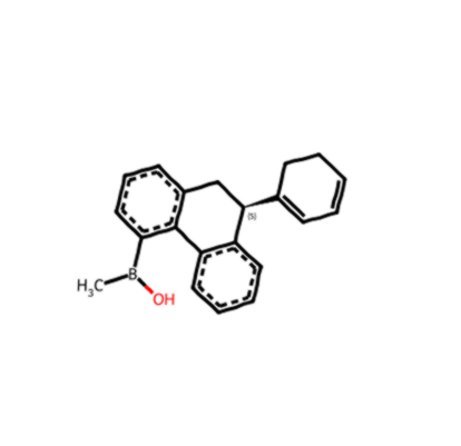 CB(O)c1cccc2c1-c1ccccc1[C@H](C1=CC=CCC1)C2